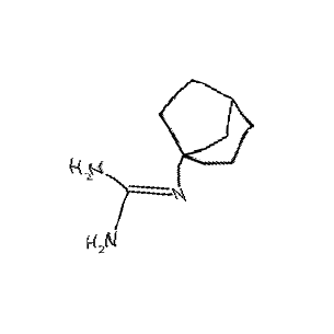 NC(N)=NC12CCC(CC1)C2